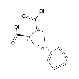 O=C(O)[C@@H]1C[C@@H](c2ccccc2)CN1C(=O)O